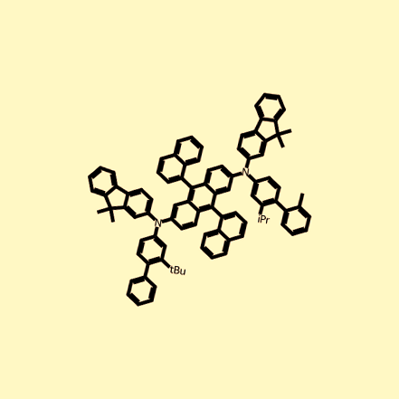 Cc1ccccc1-c1ccc(N(c2ccc3c(c2)C(C)(C)c2ccccc2-3)c2ccc3c(-c4cccc5ccccc45)c4cc(N(c5ccc(-c6ccccc6)c(C(C)(C)C)c5)c5ccc6c(c5)C(C)(C)c5ccccc5-6)ccc4c(-c4cccc5ccccc45)c3c2)cc1C(C)C